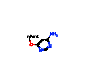 CCCCCOc1cc(N)ncn1